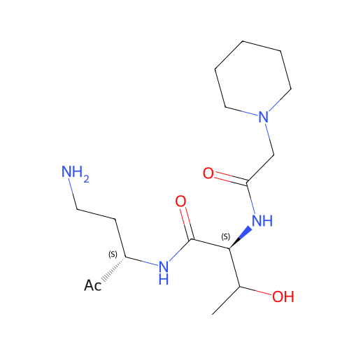 CC(=O)[C@H](CCN)NC(=O)[C@@H](NC(=O)CN1CCCCC1)C(C)O